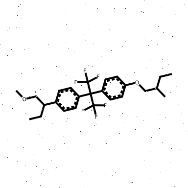 CCC(C)COc1ccc(C(c2ccc(C(CC)COC)cc2)(C(F)(F)F)C(F)(F)F)cc1